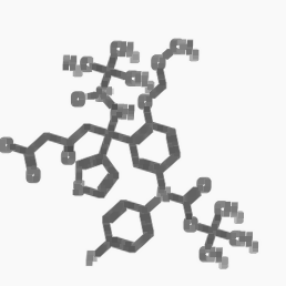 COCOc1ccc(N(C(=O)OC(C)(C)C)c2ccc(F)cc2)cc1C(CC(=O)CC(=O)O)(N[S+]([O-])C(C)(C)C)c1ccsc1